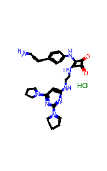 Cl.NCCc1ccc(Nc2c(NCCNc3cc(N4CCCC4)nc(N4CCCC4)n3)c(=O)c2=O)cc1